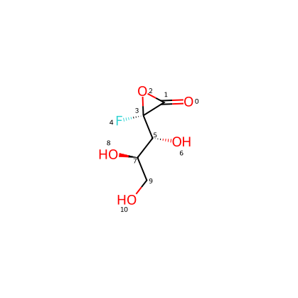 O=C1O[C@]1(F)[C@H](O)[C@H](O)CO